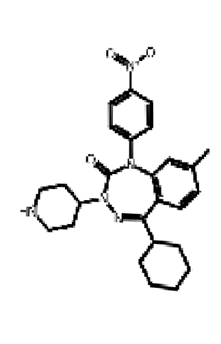 Cc1ccc2c(c1)N(c1ccc([N+](=O)[O-])cc1)C(=O)N(C1CCNCC1)N=C2C1CCCCC1